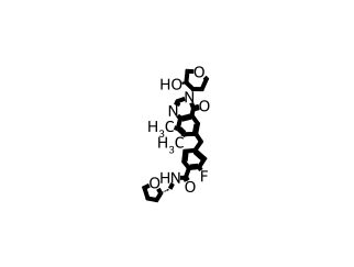 Cc1c(Cc2ccc(C(=O)NC[C@@H]3CCCO3)c(F)c2)cc2c(=O)n([C@H]3CCOC[C@@H]3O)cnc2c1C